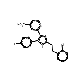 O=C(O)c1ccnc(-c2nc(CCc3ccccc3Cl)[nH]c2-c2ccc(F)cc2)c1